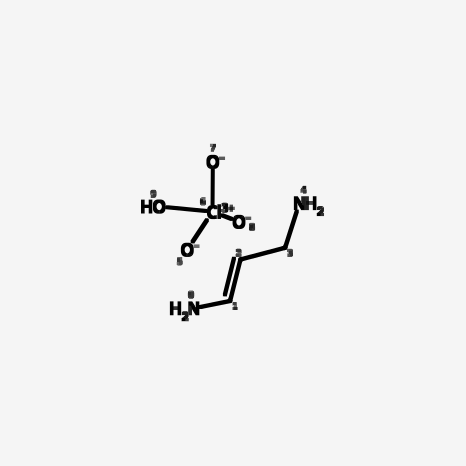 NC=CCN.[O-][Cl+3]([O-])([O-])O